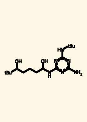 CC(C)(C)Nc1nc(N)nc(NC(O)CCCC(O)C(C)(C)C)n1